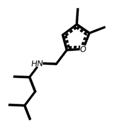 Cc1cc(CNC(C)CC(C)C)oc1C